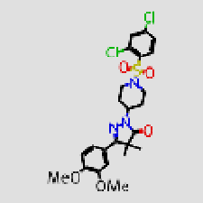 COc1ccc(C2=NN(C3CCN(S(=O)(=O)c4ccc(Cl)cc4Cl)CC3)C(=O)C2(C)C)cc1OC